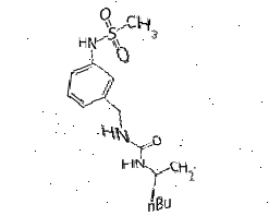 [CH2][C@@H](CCCC)NC(=O)NCc1cccc(NS(C)(=O)=O)c1